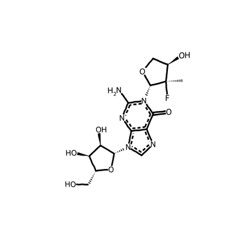 C[C@@]1(F)[C@H](O)CO[C@H]1n1c(N)nc2c(ncn2[C@@H]2O[C@H](CO)[C@@H](O)[C@H]2O)c1=O